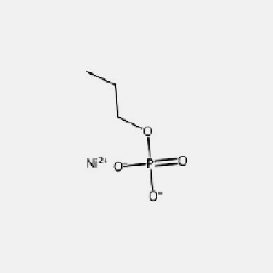 CCCOP(=O)([O-])[O-].[Ni+2]